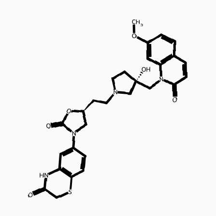 COc1ccc2ccc(=O)n(C[C@]3(O)CCN(CC[C@H]4CN(c5ccc6c(c5)NC(=O)CS6)C(=O)O4)C3)c2c1